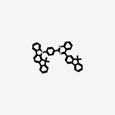 CC1(C)c2ccccc2-c2ccc(-c3nc(-c4ccc(-n5c6ccccc6c6ccc7c(c65)C(C)(C)c5ccccc5-7)cc4)nc4ccccc34)cc21